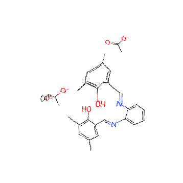 CC(=O)[O-].CC(=O)[O-].Cc1cc(C)c(O)c(C=Nc2ccccc2N=Cc2cc(C)cc(C)c2O)c1.[Co+2]